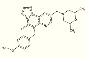 COc1ccc(Cn2c(=O)n3ncnc3c3cc(CN4CC(C)OC(C)C4)cnc32)cc1